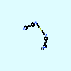 CCn1ccc(/C=C/c2ccc(N(C)CCCCSSCCCCN(C)c3ccc(/C=C/c4ccncc4)cc3)cc2)c1